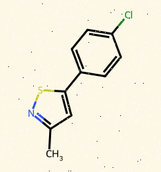 Cc1cc(-c2ccc(Cl)cc2)sn1